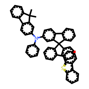 CC1(C)c2ccccc2-c2ccc(N(c3ccccc3)c3ccc4c(c3)C(c3ccccc3)(c3ccccc3-c3cccc5c3sc3ccccc35)c3ccccc3-4)cc21